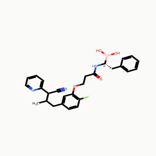 CC(Cc1ccc(F)c(OCCC(=O)N[C@@H](Cc2ccccc2)B(O)O)c1)C(C#N)c1ccccn1